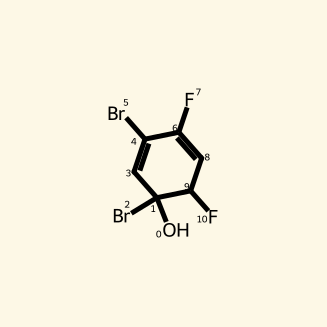 OC1(Br)C=C(Br)C(F)=CC1F